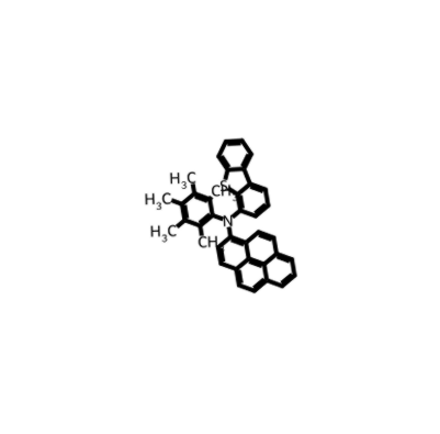 Cc1c(C)c(C)c(N(c2ccc3ccc4cccc5ccc2c3c45)c2cccc3c2sc2ccccc23)c(C)c1C